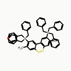 Cc1cc2c(cc1[Si](Cc1ccccc1)(Cc1ccccc1)Cc1ccccc1)-c1cc([Si](Cc3ccccc3)(Cc3ccccc3)Cc3ccccc3)c(C)cc1SS2